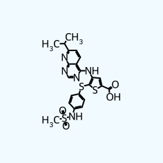 CC(C)c1ccc2c(Nc3cc(C(=O)O)sc3Sc3ccc(NS(C)(=O)=O)cc3)ncnc2n1